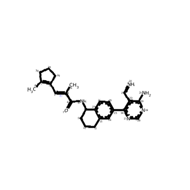 CC1=C(/C=C(\C)C(=O)NC2CCCc3cc(-c4ncnc(N)c4C=N)ccc32)CCC1